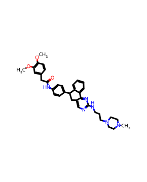 COc1ccc(CC(=O)Nc2ccc(C3Cc4cnc(NCCCN5CCN(C)CC5)nc4-c4ccccc43)cc2)cc1OC